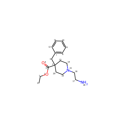 CCOC(=O)C1(Cc2ccccc2)CCN(CCN)CC1